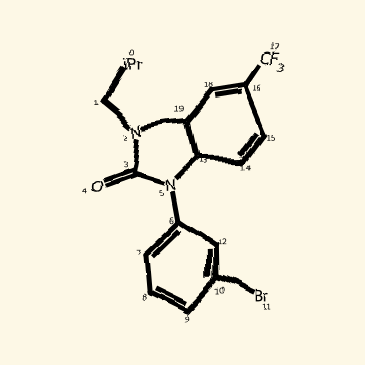 CC(C)CN1C(=O)N(c2cccc(Br)c2)C2C=CC(C(F)(F)F)=CC21